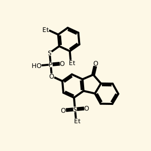 CCc1cccc(CC)c1SP(=O)(O)Oc1cc2c(c(S(=O)(=O)CC)c1)-c1ccccc1C2=O